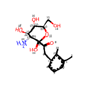 Cc1cccc(CC(=O)C2(O)O[C@H](CO)[C@@H](O)[C@H](O)[C@H]2N)c1C